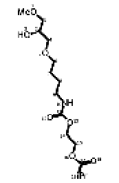 COC[C@H](O)COCCCCNC(=O)OCCOC(=O)C(C)C